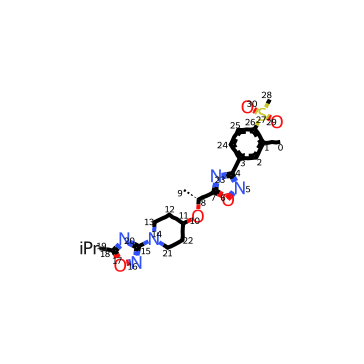 Cc1cc(-c2noc([C@@H](C)OC3CCN(c4noc(C(C)C)n4)CC3)n2)ccc1S(C)(=O)=O